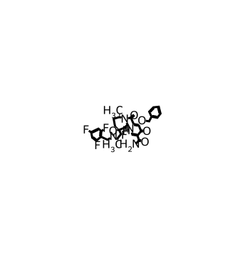 CC1[C@H](F)[C@]2(CC[C@H](C)N3C[C@H]2n2cc(C(N)=O)c(=O)c(OCc4ccccc4)c2C3=O)ON1Cc1c(F)cc(F)cc1F